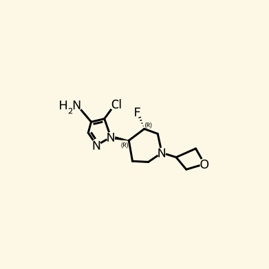 Nc1cnn([C@@H]2CCN(C3COC3)C[C@H]2F)c1Cl